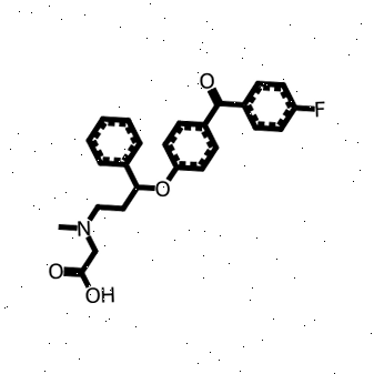 CN(CCC(Oc1ccc(C(=O)c2ccc(F)cc2)cc1)c1ccccc1)CC(=O)O